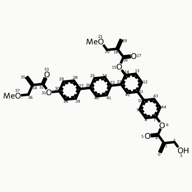 C=C(CO)C(=O)Oc1ccc(-c2ccc(OC(=O)C(=C)COC)c(-c3ccc(-c4ccc(OC(=O)C(=C)COC)cc4)cc3)c2)cc1